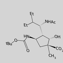 CCC(CC)[C@H](NC(C)=O)[C@H]1[C@H](NC(=O)OC(C)(C)C)C[C@](C)(C(=O)O)[C@H]1O